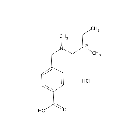 CC[C@H](C)CN(C)Cc1ccc(C(=O)O)cc1.Cl